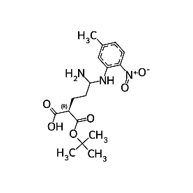 Cc1ccc([N+](=O)[O-])c(NC(N)CC[C@H](C(=O)O)C(=O)OC(C)(C)C)c1